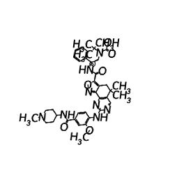 COc1cc(C(=O)NC2CCN(C)CC2)ccc1Nc1ncc2c(n1)-c1noc(C(=O)N[C@H](CN(C(=O)O)C(C)(C)C)c3ccccc3)c1CC2(C)C